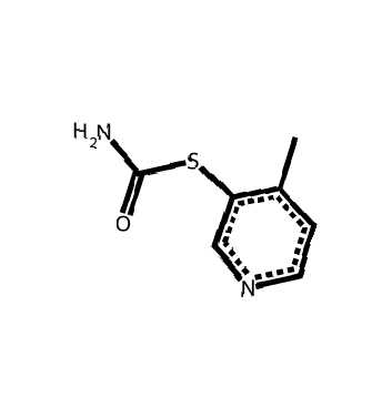 Cc1ccncc1SC(N)=O